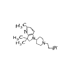 Cc1ccc2c(n1)C(C)(C)CN2C1CCN(CCC(C)C)CC1